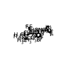 CC(C)[Si](C#CC(COc1c(Cl)c(Br)c(F)c2nc(OC[C@@]34CCCN3C[C@H](F)C4)nc(O)c12)NCC(F)F)(C(C)C)C(C)C